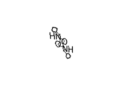 c1ccc(CNC2COC3C(NCc4ccccc4)COC23)cc1